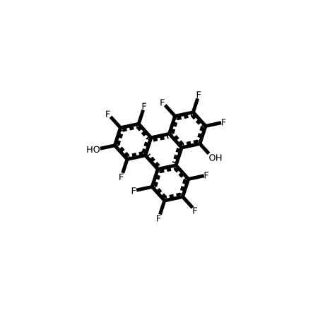 Oc1c(F)c(F)c2c3c(F)c(F)c(F)c(O)c3c3c(F)c(F)c(F)c(F)c3c2c1F